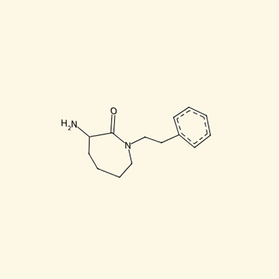 NC1CCCCN(CCc2ccccc2)C1=O